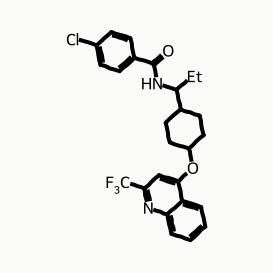 CCC(NC(=O)c1ccc(Cl)cc1)C1CCC(Oc2cc(C(F)(F)F)nc3ccccc23)CC1